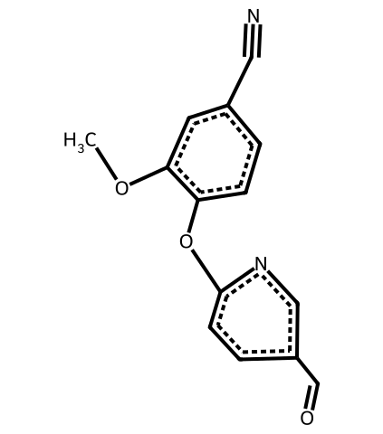 COc1cc(C#N)ccc1Oc1ccc(C=O)cn1